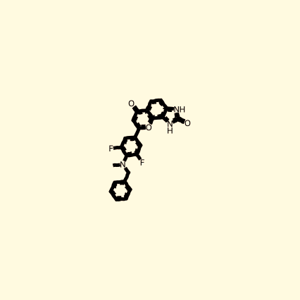 CN(Cc1ccccc1)c1c(F)cc(-c2cc(=O)c3ccc4[nH]c(=O)[nH]c4c3o2)cc1F